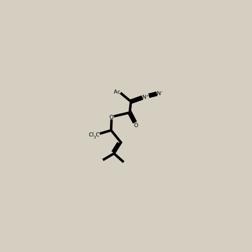 CC(=O)C(=[N+]=[N-])C(=O)OC(C=C(C)C)C(Cl)(Cl)Cl